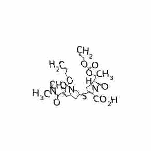 C=CCOC(=O)O[C@H](C)[C@H]1C(=O)N2C(C(=O)O)=C(S[C@H]3C[C@@H](/C=C/C(=O)N(C)C)N(C(=O)OCC=C)C3)C[C@H]12